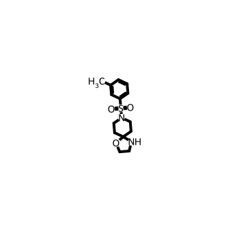 Cc1cccc(S(=O)(=O)N2CCC3(CC2)NCCO3)c1